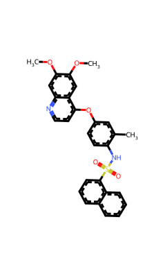 COc1cc2nccc(Oc3ccc(NS(=O)(=O)c4cccc5ccccc45)c(C)c3)c2cc1OC